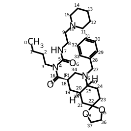 CCCCN(C(=O)NCCN1CCCCC1)C(=O)[C@@H]1C[C@@H]2CC3(CC[C@H]2N(Cc2ccccc2)C1)OCCO3